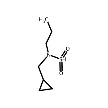 CCCN(CC1CC1)[SH](=O)=O